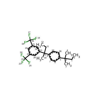 CCC(C)(C)c1ccc(C(C)(CC)c2cc(C(F)(F)F)cc(C(F)(F)F)c2)cc1